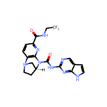 O=C(NCC(F)(F)F)c1ccc2c(n1)N(C(=O)Nc1ncc3cc[nH]c3n1)[C@H]1CCN2C1